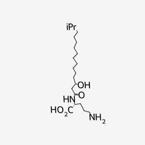 CC(C)CCCCCCCCCCC(O)CC(=O)N[C@H](CCCN)C(=O)O